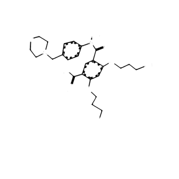 C=C(C)c1cc(C(=O)N(C)c2ccc(CN3CCOCC3)cc2)c(OCCCC)cc1OCCCC